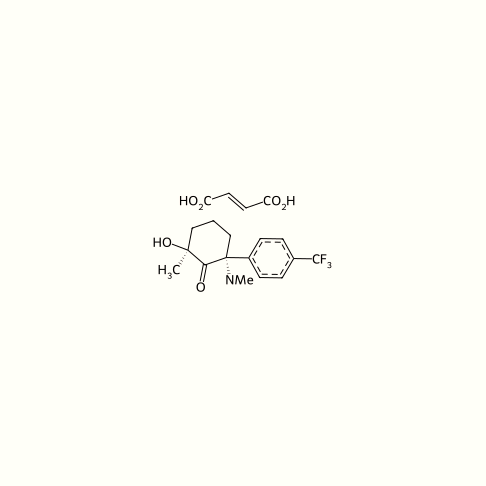 CN[C@@]1(c2ccc(C(F)(F)F)cc2)CCC[C@](C)(O)C1=O.O=C(O)/C=C/C(=O)O